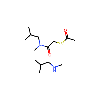 CC(=O)SCC(=O)N(C)CC(C)C.CNCC(C)C